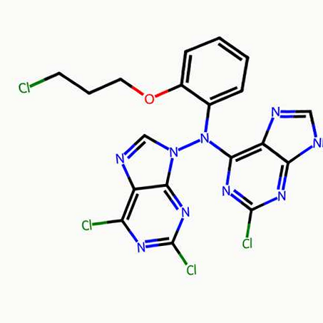 ClCCCOc1ccccc1N(c1nc(Cl)nc2[nH]cnc12)n1cnc2c(Cl)nc(Cl)nc21